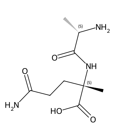 C[C@H](N)C(=O)N[C@@](C)(CCC(N)=O)C(=O)O